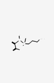 C=C(C)C(=O)N(CCC)[N+](C)(C)CCCCCCCCCCCC.[Cl-]